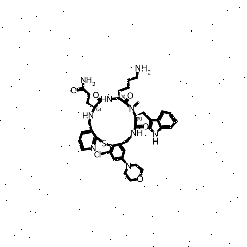 CN1C(=O)[C@H](CCCCN)NC(=O)[C@H](CCC(N)=O)NCc2cccnc2Sc2c(Cl)cc(N3CCOCC3)cc2CNC(=O)[C@@H]1Cc1c[nH]c2ccccc12